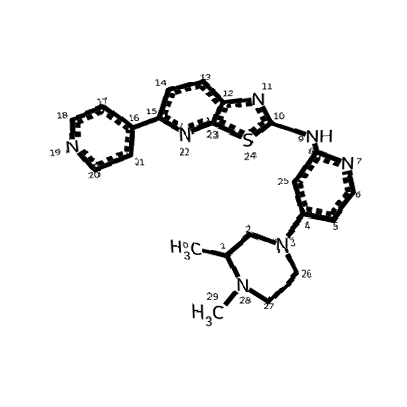 CC1CN(c2ccnc(Nc3nc4ccc(-c5ccncc5)nc4s3)c2)CCN1C